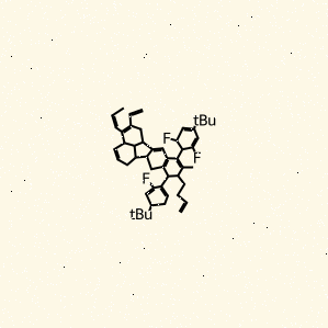 C=CCCC1C(C)=C(C2C(F)=CC(C(C)(C)C)=CC2F)C2=C(CC3C(=C2)C2CC(C=C)=C(/C=C\C)C4C=CCC3C42)C1C1=CCC(C(C)(C)C)C=C1F